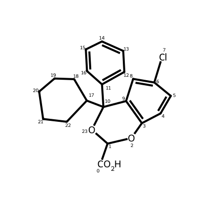 O=C(O)C1Oc2ccc(Cl)cc2C(c2ccccc2)(C2CCCCC2)O1